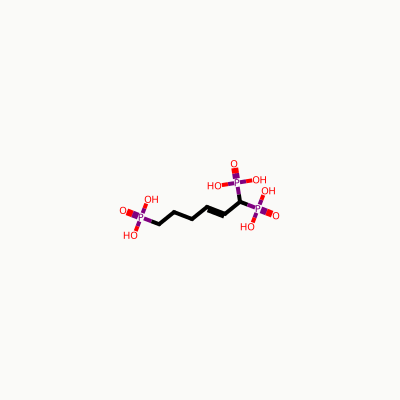 O=P(O)(O)CCCC=CC(P(=O)(O)O)P(=O)(O)O